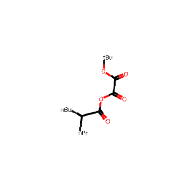 CCCCC(CCC)C(=O)OC(=O)C(=O)OC(C)(C)C